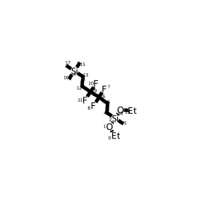 CCO[Si](C)(CCC(F)(F)C(F)(F)CC[Si](C)(C)C)OCC